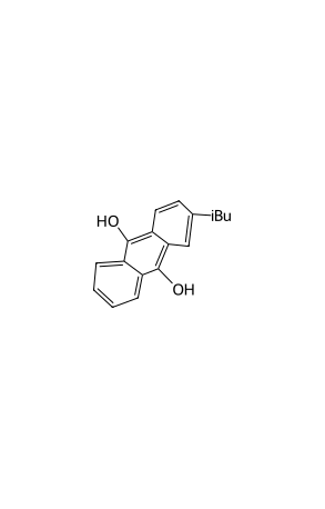 CCC(C)c1ccc2c(O)c3ccccc3c(O)c2c1